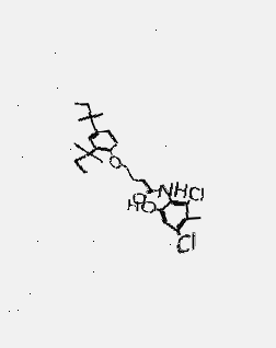 CCC(C)(C)c1ccc(OCCCC(=O)Nc2c(O)cc(Cl)c(C)c2Cl)c(C(C)(C)CC)c1